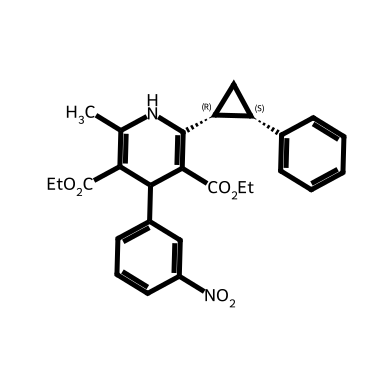 CCOC(=O)C1=C(C)NC([C@@H]2C[C@@H]2c2ccccc2)=C(C(=O)OCC)C1c1cccc([N+](=O)[O-])c1